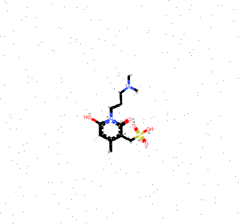 Cc1cc(O)n(CCCN(C)C)c(=O)c1CS(=O)(=O)O